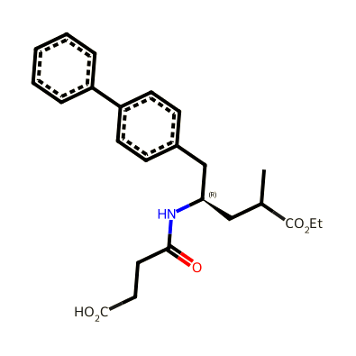 CCOC(=O)C(C)C[C@H](Cc1ccc(-c2ccccc2)cc1)NC(=O)CCC(=O)O